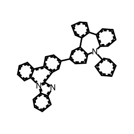 c1ccc(N2c3ccccc3-c3ccccc3-c3cc(-c4ccc5c6ccccc6n6c7ccccc7nc6c5c4)ccc32)cc1